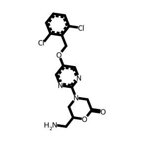 NCC1CN(c2ncc(OCc3c(Cl)cccc3Cl)cn2)CC(=O)O1